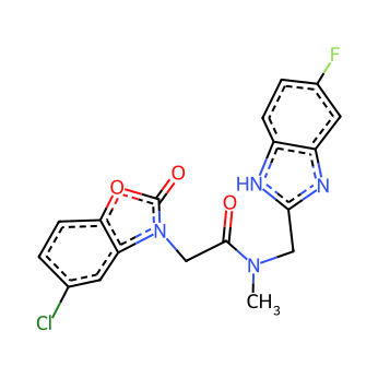 CN(Cc1nc2cc(F)ccc2[nH]1)C(=O)Cn1c(=O)oc2ccc(Cl)cc21